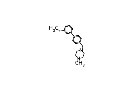 CCc1cccc(-c2ccc(CN3CCN(C)CC3)cc2)c1